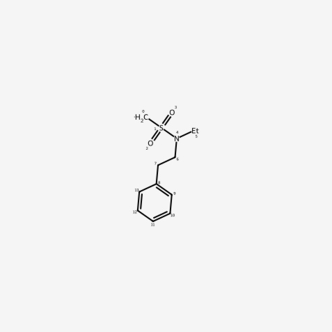 [CH2]S(=O)(=O)N(CC)CCc1ccccc1